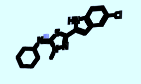 Cn1nc(-c2cc3cc(Cl)ccc3[nH]2)s/c1=N/C1CCCCC1